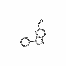 O=Cc1ccc2ncc(-c3ccccc3)n2n1